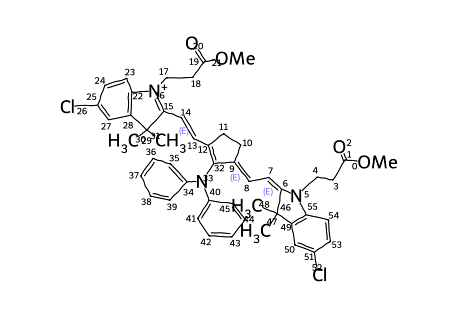 COC(=O)CCN1/C(=C/C=C2\CCC(/C=C/C3=[N+](CCC(=O)OC)c4ccc(Cl)cc4C3(C)C)=C2N(c2ccccc2)c2ccccc2)C(C)(C)c2cc(Cl)ccc21